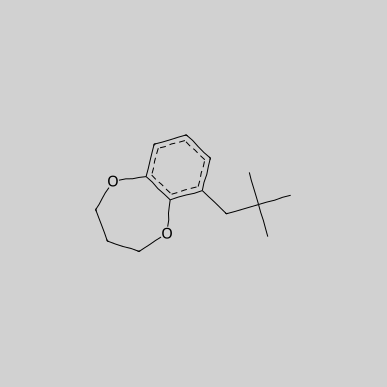 CC(C)(C)Cc1cccc2c1OCCCO2